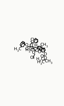 CCC(C)(CC(C)(CC(C)(CC(C)(CC(C)c1ccc(OC(=O)OC(C)(C)C)cc1)C(=O)O)C(=O)OCC1CO1)C(=O)OC12CC3CC1CC(C)(C3)C2)c1ccccc1